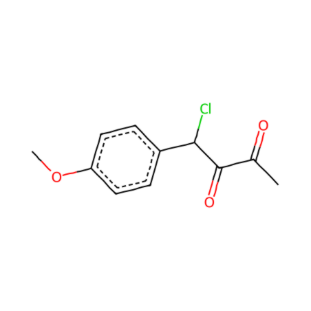 COc1ccc(C(Cl)C(=O)C(C)=O)cc1